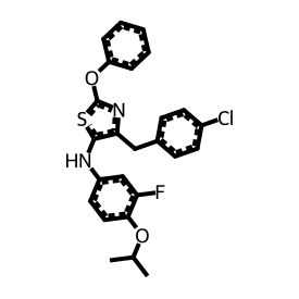 CC(C)Oc1ccc(Nc2sc(Oc3ccccc3)nc2Cc2ccc(Cl)cc2)cc1F